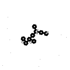 c1ccc(-c2cc(-c3ccc(-c4ccc(-c5cccc6oc7ccccc7c56)c5oc6ccccc6c45)cc3)nc(-c3ccc(-c4cccnc4)cc3)n2)cc1